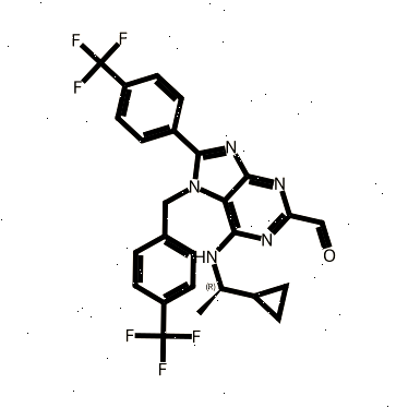 C[C@@H](Nc1nc(C=O)nc2nc(-c3ccc(C(F)(F)F)cc3)n(Cc3ccc(C(F)(F)F)cc3)c12)C1CC1